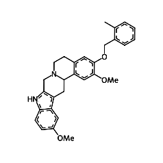 COc1ccc2[nH]c3c(c2c1)CC1c2cc(OC)c(OCc4ccccc4C)cc2CCN1C3